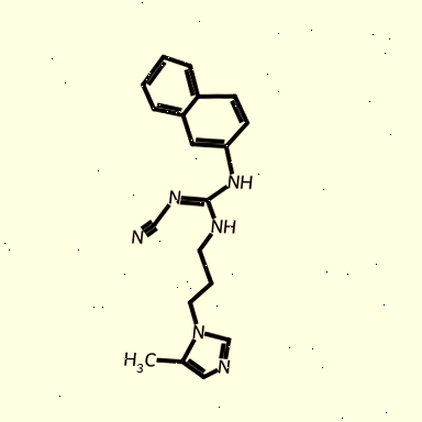 Cc1cncn1CCCNC(=NC#N)Nc1ccc2ccccc2c1